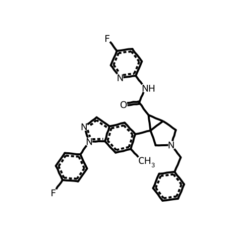 Cc1cc2c(cnn2-c2ccc(F)cc2)cc1C12CN(Cc3ccccc3)CC1C2C(=O)Nc1ccc(F)cn1